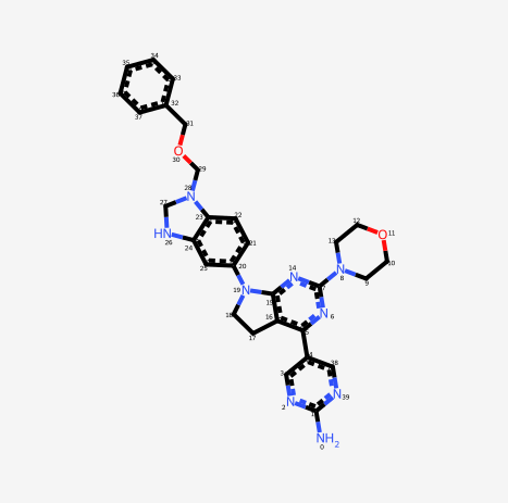 Nc1ncc(-c2nc(N3CCOCC3)nc3c2CCN3c2ccc3c(c2)NCN3COCc2ccccc2)cn1